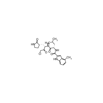 Cc1cccc2[nH]c(C(=O)N[C@@H](CC(C)C)C(=O)N[C@@H](C[C@@H]3CCNC3=O)C(=O)CCl)cc12